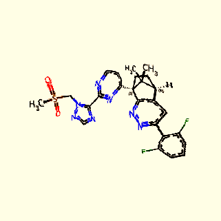 CC1(C)[C@H]2CC[C@]1(c1ccnc(-c3ncnn3CS(C)(=O)=O)n1)c1nnc(-c3c(F)cccc3F)cc12